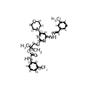 Cc1cccc(C=NNc2cc(N3CCOCC3)nc(OCC(C)(C)OC(=O)Nc3cccc(C(F)(F)F)c3)n2)c1